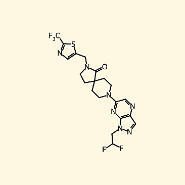 O=C1N(Cc2cnc(C(F)(F)F)s2)CCC12CCN(c1cnc3cnn(CC(F)F)c3n1)CC2